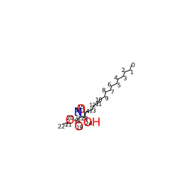 CCCCCCCCCCCCCCc1onc(C(=O)OCC)c1O